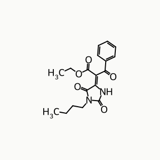 CCCCN1C(=O)NC(=C(C(=O)OCC)C(=O)c2ccccc2)C1=O